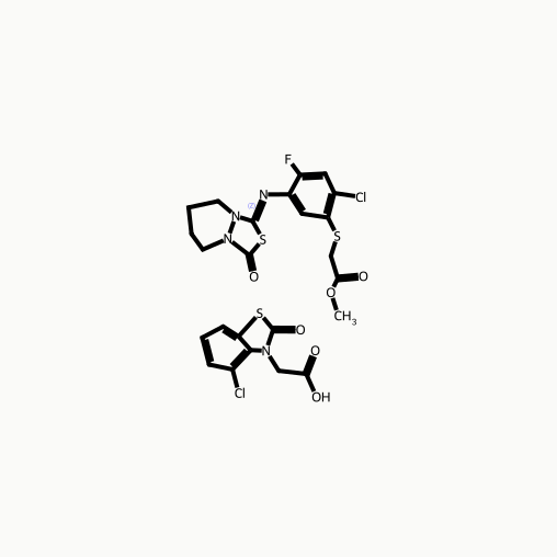 COC(=O)CSc1cc(/N=c2\sc(=O)n3n2CCCC3)c(F)cc1Cl.O=C(O)Cn1c(=O)sc2cccc(Cl)c21